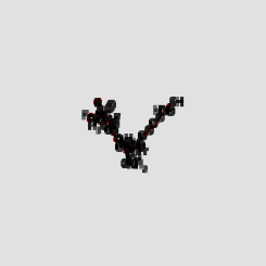 CC(C)[C@H](NC(=O)CCOCCOCCOCCOCCNC(=O)CCS)C(=O)N[C@@H](CCCNC(N)=O)C(=O)Nc1ccc(COC(=O)N2C[C@@H](CN(C(=O)[C@@H](C)O)[C@@H](c3nc(-c4cc(F)ccc4F)cn3Cc3ccccc3)C3CCOCC3)[C@@H](F)C2)cc1